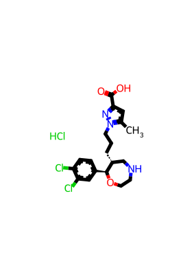 Cc1cc(C(=O)O)nn1CCC[C@@H]1CNCCO[C@H]1c1ccc(Cl)c(Cl)c1.Cl